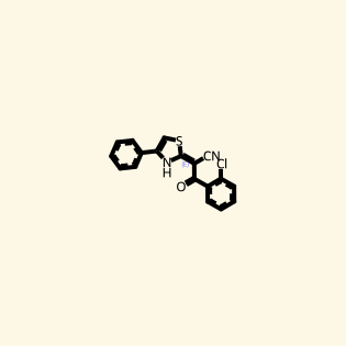 N#C/C(C(=O)c1ccccc1Cl)=C1/NC(c2ccccc2)=CS1